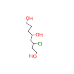 OCCCC(O)CC(Cl)CCO